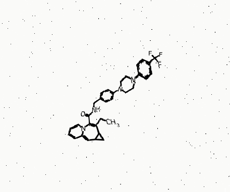 CCC1=C(C(=O)NCc2ccc(N3CCN(c4ccc(C(F)(F)F)cc4)CC3)cc2)N2C=CC=CC2=CC2CC12